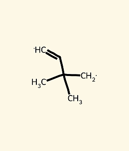 [CH]=CC([CH2])(C)C